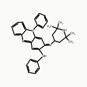 CC1(C)CC(N=c2cc3n(-c4ccccc4)c4ccccc4nc-3cc2Nc2ccccc2)CC(C)(C)N1